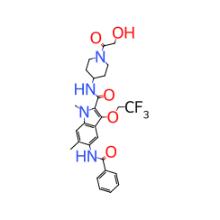 Cc1cc2c(cc1NC(=O)c1ccccc1)c(OCC(F)(F)F)c(C(=O)NC1CCN(C(=O)CO)CC1)n2C